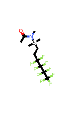 CC(=O)N(C)[Si](C)(C)CCC(F)(F)C(F)(F)C(F)(F)C(F)(F)F